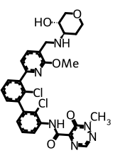 COc1nc(-c2cccc(-c3cccc(NC(=O)c4ncnn(C)c4=O)c3Cl)c2Cl)ccc1CN[C@@H]1CCOC[C@H]1O